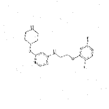 Fc1ccc(F)c(OCCNc2cc(OC3CCNCC3)ncn2)c1